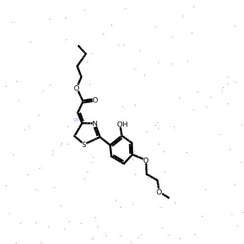 CCCCOC(=O)/C=C1/CSC(c2ccc(OCCOC)cc2O)=N1